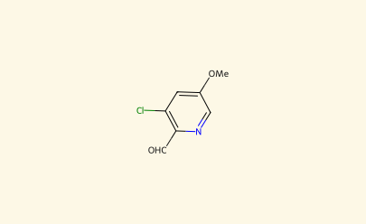 COc1cnc(C=O)c(Cl)c1